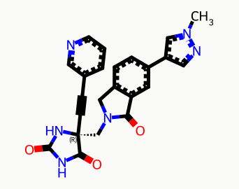 Cn1cc(-c2ccc3c(c2)C(=O)N(C[C@@]2(C#Cc4cccnc4)NC(=O)NC2=O)C3)cn1